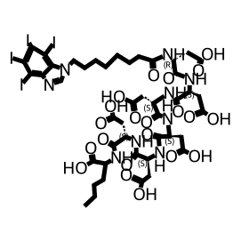 CCCCC(NC(=O)[C@H](CC(=O)O)NC(=O)[C@H](CC(=O)O)NC(=O)[C@H](CC(=O)O)NC(=O)[C@H](CC(=O)O)NC(=O)[C@H](CC(=O)O)NC(=O)[C@@H](CC(=O)O)NC(=O)CCCCCCCn1cnc2c(I)c(I)c(I)c(I)c21)C(=O)O